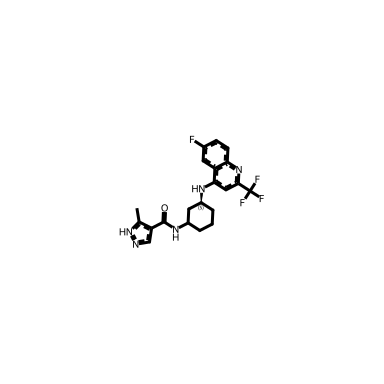 Cc1[nH]ncc1C(=O)NC1CCC[C@H](Nc2cc(C(F)(F)F)nc3ccc(F)cc23)C1